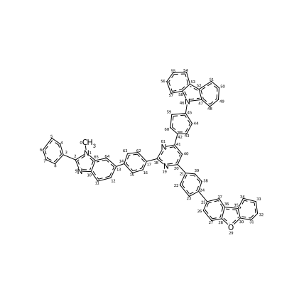 Cn1c(-c2ccccc2)nc2ccc(-c3ccc(-c4nc(-c5ccc(-c6ccc7oc8ccccc8c7c6)cc5)cc(-c5ccc(-n6c7ccccc7c7ccccc76)cc5)n4)cc3)cc21